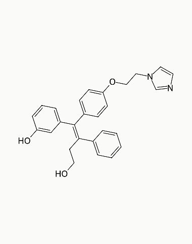 OCCC(=C(c1ccc(OCCn2ccnc2)cc1)c1cccc(O)c1)c1ccccc1